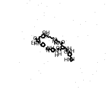 CCC1=C(Nc2ccccc2)S/C(=C\c2ccc(OCCCCn3cc(CNC(=O)c4cc(NC(=O)Nc5ccc(C6=NCCN6)cc5)cc(NC(=O)Nc5ccc(C6=NCCN6)cc5)c4)nn3)c(O)c2)C1=O